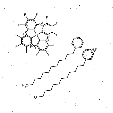 CCCCCCCCCCCCc1ccccc1.CCCCCCCCCCCCc1ccccc1.Fc1c(F)c(F)c([B-](c2c(F)c(F)c(F)c(F)c2F)(c2c(F)c(F)c(F)c(F)c2F)c2c(F)c(F)c(F)c(F)c2F)c(F)c1F.[IH2+]